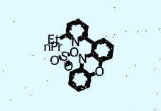 CCCS(=O)(=O)ON1c2ccccc2Oc2cccc(-c3cccc(CC)n3)c21